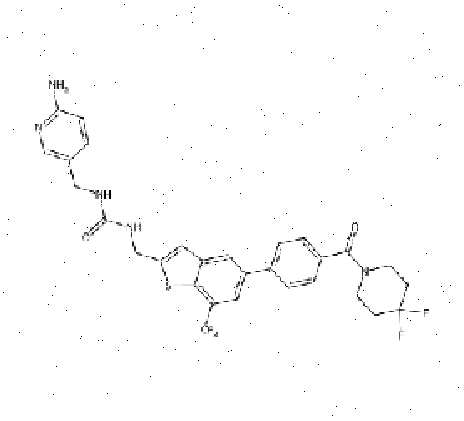 Nc1ccc(CNC(=O)NCc2cc3cc(-c4ccc(C(=O)N5CCC(F)(F)CC5)cc4)cc(C(F)(F)F)c3s2)cn1